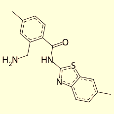 Cc1ccc(C(=O)Nc2nc3ccc(C)cc3s2)c(CN)c1